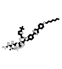 CCCCCCCOc1ccc(-c2cnc(-c3ccc(C[C@H](NC(=O)c4ccc(C(C)(C)C)s4)C(=O)N[C@@H](CC(=O)NC(NN)N(C)N)C(=O)O)cc3)nc2)cc1